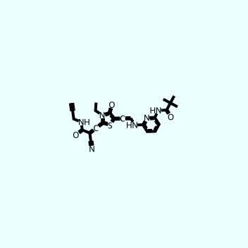 C#CCNC(=O)C(=C=c1sc(=C=CNc2cccc(NC(=O)C(C)(C)C)n2)c(=O)n1CC)C#N